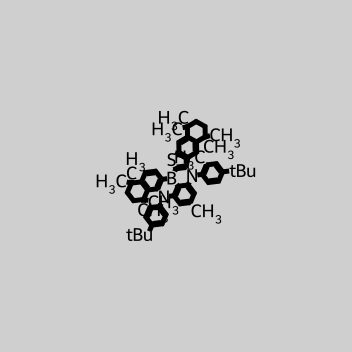 Cc1cc2c3c(c1)N(c1ccc(C(C)(C)C)cc1C)c1c(sc4cc5c(cc14)C(C)(C)CCC5(C)C)B3c1ccc3c(c1N2c1ccc(C(C)(C)C)cc1)C(C)(C)CCC3(C)C